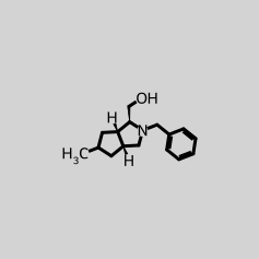 CC1C[C@H]2CN(Cc3ccccc3)[C@H](CO)[C@H]2C1